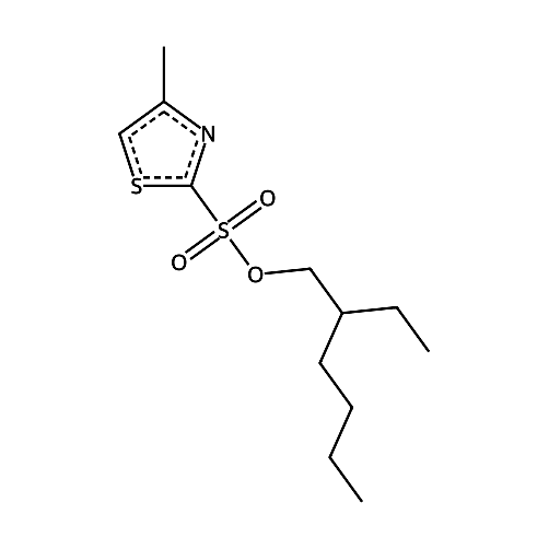 CCCCC(CC)COS(=O)(=O)c1nc(C)cs1